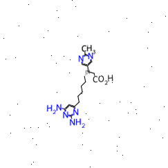 Cc1ncc([C@@H](CCCCCCc2cc(N)nc(N)n2)CC(=O)O)cn1